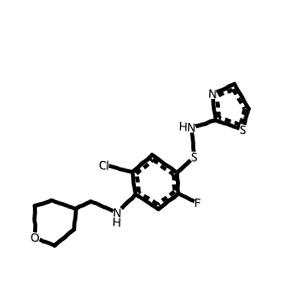 Fc1cc(NCC2CCOCC2)c(Cl)cc1SNc1nccs1